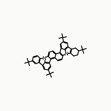 CC(C)(C)c1cc2c3c(n4c5ccc6c(ccc7c6c6cc(C(C)(C)C)cc8c9cc(C(C)(C)C)ccc9n7c86)c5c(c1)c24)CCC(C(C)(C)C)C3